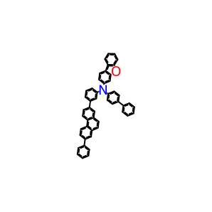 c1ccc(-c2ccc(N(c3cccc(-c4ccc5c(ccc6cc(-c7ccccc7)ccc65)c4)c3)c3ccc4c(c3)oc3ccccc34)cc2)cc1